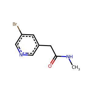 CNC(=O)Cc1cncc(Br)c1